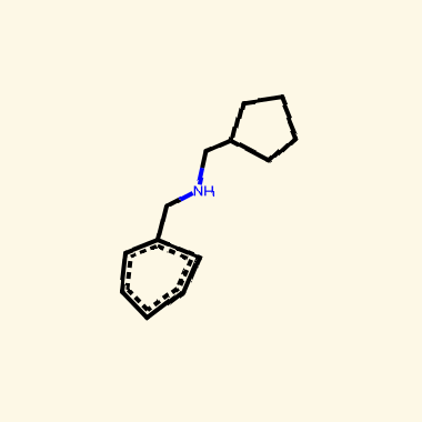 c1ccc(CNCC2CCCC2)cc1